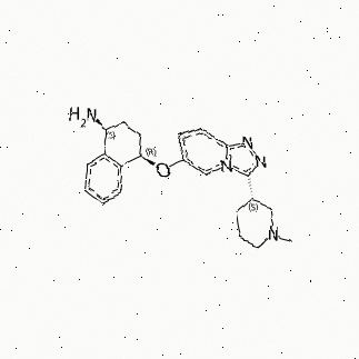 CN1CCC[C@H](c2nnc3ccc(O[C@@H]4CC[C@H](N)c5ccccc54)cn23)C1